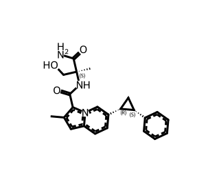 Cc1cc2ccc([C@@H]3C[C@@H]3c3ccccc3)cn2c1C(=O)N[C@@](C)(CO)C(N)=O